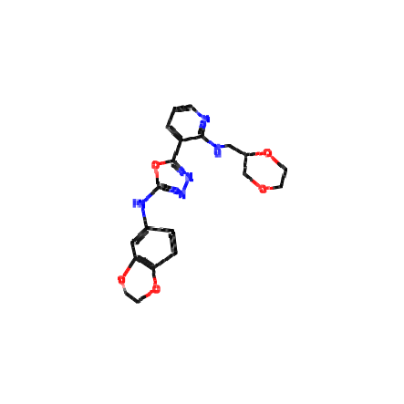 c1cnc(NCC2COCCO2)c(-c2nnc(Nc3ccc4c(c3)OCCO4)o2)c1